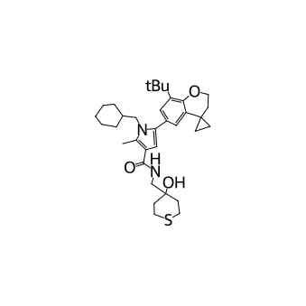 Cc1c(C(=O)NCC2(O)CCSCC2)cc(-c2cc(C(C)(C)C)c3c(c2)C2(CCO3)CC2)n1CC1CCCCC1